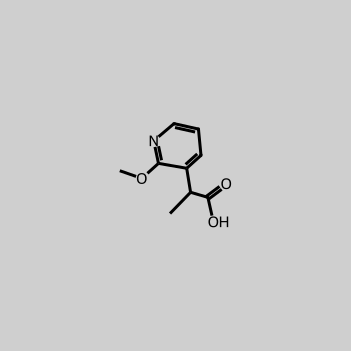 COc1ncccc1C(C)C(=O)O